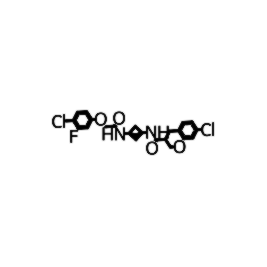 O=C(COc1ccc(Cl)c(F)c1)NC12CC(NC(=O)C3COc4cc(Cl)ccc4C3)(C1)C2